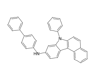 c1ccc(-c2ccc(Nc3ccc4c5c6ccccc6ccc5n(-c5ccccc5)c4c3)cc2)cc1